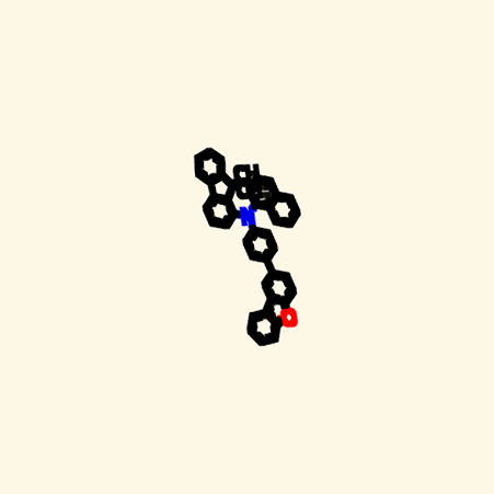 CC1(C)c2ccccc2-c2cccc(N(c3ccc(-c4ccc5oc6ccccc6c5c4)cc3)c3cccc4ccccc34)c21